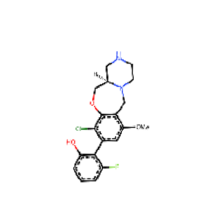 COc1cc(-c2c(O)cccc2F)c(Cl)c2c1CN1CCNC[C@@H]1CO2